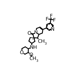 COC1COCCC1NC1CC[C@@]2(C1)C(=O)N1CC=C(c3cncc(C(F)(F)F)c3)CC1C2C